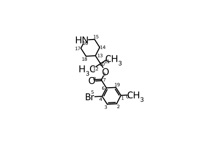 Cc1ccc(Br)c(C(=O)OC(C)(C)C2CCNCC2)c1